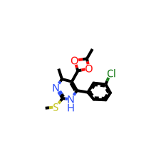 CSC1=NC(C)C(C2OC(C)O2)=C(c2cccc(Cl)c2)N1